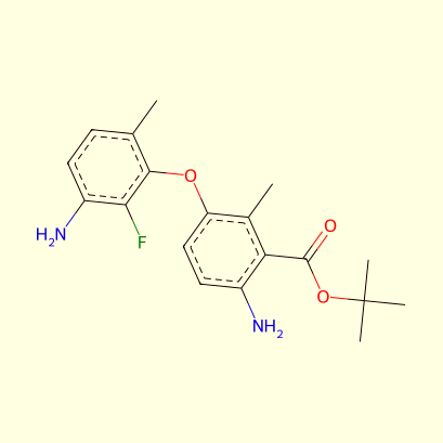 Cc1ccc(N)c(F)c1Oc1ccc(N)c(C(=O)OC(C)(C)C)c1C